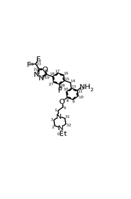 CCN1CCN(CCOc2ccc(N)c(Cc3ccc(-c4nnc(C(F)F)o4)cc3F)c2)CC1